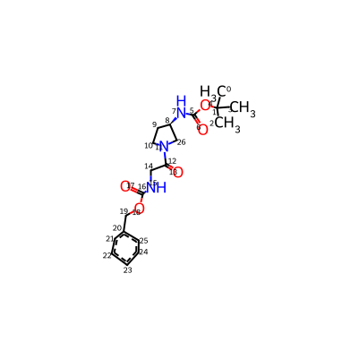 CC(C)(C)OC(=O)N[C@@H]1CCN(C(=O)CNC(=O)OCc2ccccc2)C1